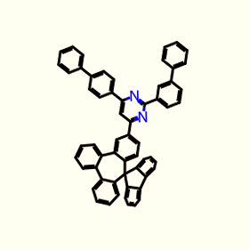 c1ccc(-c2ccc(-c3cc(-c4ccc5c(c4)-c4ccccc4-c4ccccc4C54c5ccccc5-c5ccccc54)nc(-c4cccc(-c5ccccc5)c4)n3)cc2)cc1